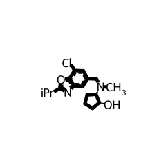 CC(C)c1nc2cc(CN(C)[C@H]3CCC[C@H]3O)cc(Cl)c2o1